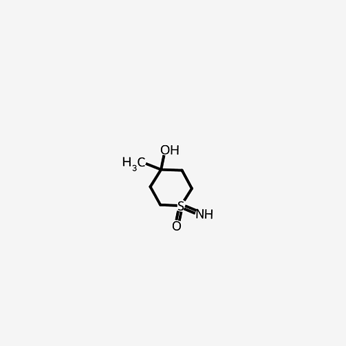 CC1(O)CCS(=N)(=O)CC1